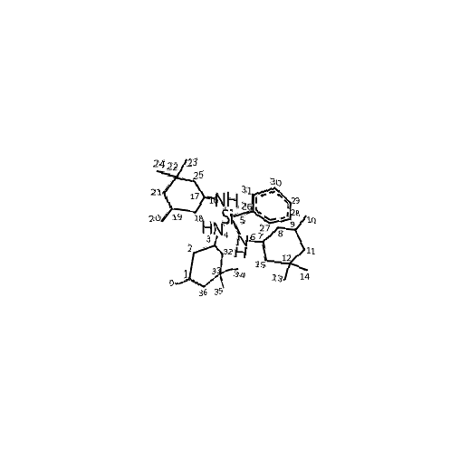 CC1CC(N[Si](NC2CC(C)CC(C)(C)C2)(NC2CC(C)CC(C)(C)C2)c2ccccc2)CC(C)(C)C1